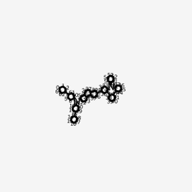 c1ccc(-c2ccc(N(c3ccc(-c4ccccc4)cc3)c3ccc4c(ccc5cc(-c6ccc7c(c6)-c6ccccc6-c6ccccc6N7c6ccccc6)ccc54)c3)cc2)cc1